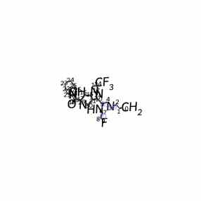 C=C/C=N/C=C(\N/C=C/F)c1nn(CC(F)(F)F)c2cc(C(=O)N3CC4CCC(C3)C4O)ncc12